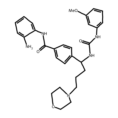 COc1cccc(NC(=O)NC(CCCN2CCOCC2)c2ccc(C(=O)Nc3ccccc3N)cc2)c1